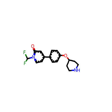 O=c1cc(-c2ccc(OC3CCNCC3)cc2)ccn1C(F)F